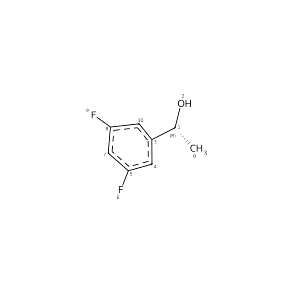 C[C@@H](O)c1cc(F)cc(F)c1